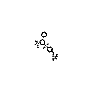 CS(=O)(=O)OCc1ccc(S(=O)(=O)[C@H]2C[C@@H](c3ccccc3)CN(S(C)(=O)=O)C2)cc1